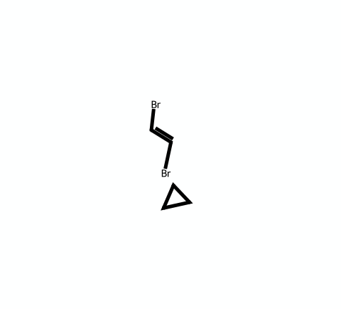 BrC=CBr.C1CC1